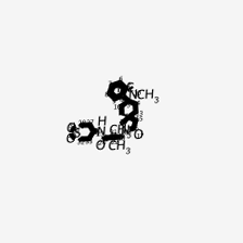 CN(C)[C@]1(c2ccccc2)CC[C@@]2(CC1)CC(=O)N(CC(C)(C)C(=O)NC1CCS(=O)(=O)CC1)C2